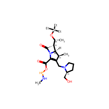 BNPOC(=O)C1=C(CN2CCC[C@H]2CO)[C@H](C)[C@@H]2[C@@H]([C@@H](C)O[Si](CC)(CC)CC)C(=O)N12